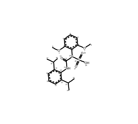 COc1cccc(OC)c1N(C(=O)Nc1c(C(C)C)cccc1C(C)C)S(=O)(=O)O